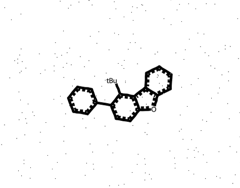 CC(C)(C)c1c(-c2ccccc2)ccc2oc3ccccc3c12